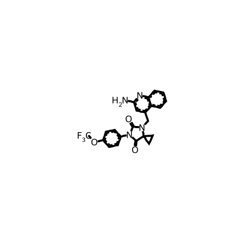 Nc1cc(CN2C(=O)N(c3ccc(OC(F)(F)F)cc3)C(=O)C23CC3)c2ccccc2n1